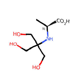 C[C@H](NC(CO)(CO)CO)C(=O)O